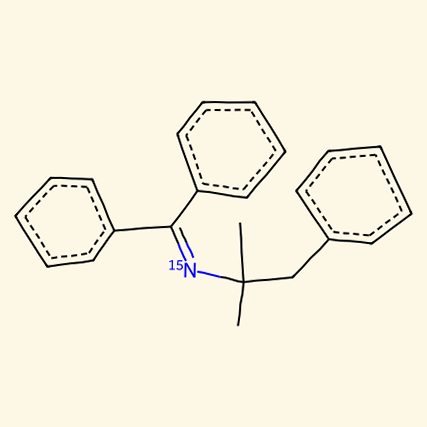 CC(C)(Cc1ccccc1)[15N]=C(c1ccccc1)c1ccccc1